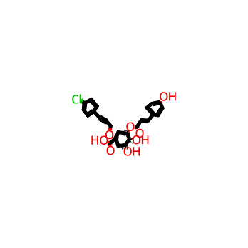 O=C(C=Cc1ccc(O)cc1)O[C@@H]1C[C@](OCC#Cc2ccc(Cl)cc2)(C(=O)O)C[C@H](O)[C@H]1O